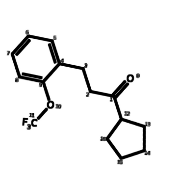 O=C(CCc1ccccc1OC(F)(F)F)C1CCCC1